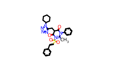 CCN(C(=O)C(Cc1nnnn1C1CCCCC1)C(=O)NS(=O)(=O)C=Cc1ccccc1)c1ccccc1